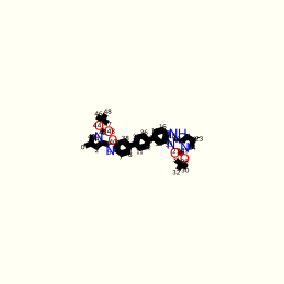 CC1CC(c2nc3ccc(-c4ccc(-c5ccc6[nH]c([C@@H]7C[C@H](C)CN7C(=O)OC(C)(C)C)nc6c5)cc4)cc3o2)N(C(=O)OC(C)(C)C)C1